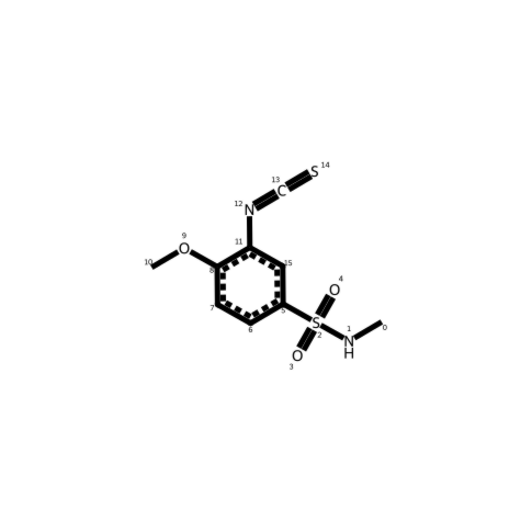 CNS(=O)(=O)c1ccc(OC)c(N=C=S)c1